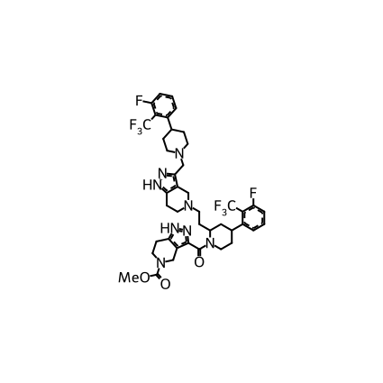 COC(=O)N1CCc2[nH]nc(C(=O)N3CCC(c4cccc(F)c4C(F)(F)F)CC3CCN3CCc4[nH]nc(CN5CCC(c6cccc(F)c6C(F)(F)F)CC5)c4C3)c2C1